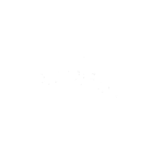 CC(C)CC(NC(=O)OCc1ccccc1)C(=O)NC(COCc1ccccc1)C(=O)O